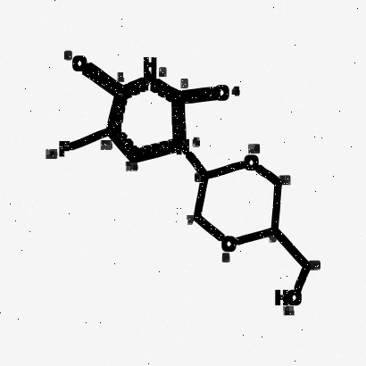 O=c1[nH]c(=O)n(C2COC(CO)CO2)cc1F